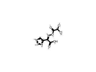 O=C(O)C(=NOC(=O)C(Cl)Cl)c1cnsn1